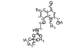 CN1C(CO)=CC(=C=O)c2cc(F)cc(OCCNC(=O)OC(C)(C)C)c21